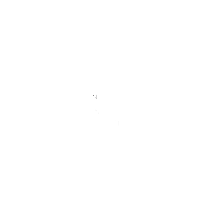 CCCn1nc(O)c(C(C)(C)C)c1CC